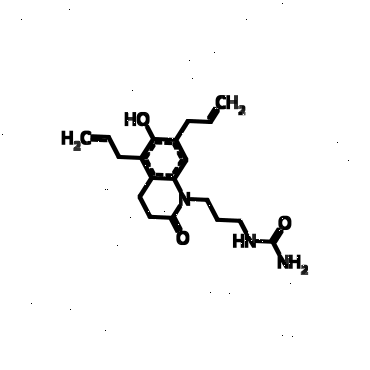 C=CCc1cc2c(c(CC=C)c1O)CCC(=O)N2CCCNC(N)=O